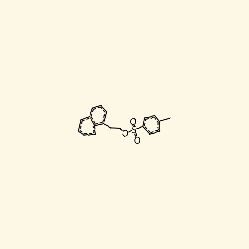 Cc1ccc(S(=O)(=O)OCCc2cccc3ccccc23)cc1